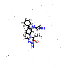 CC1C(=O)NN=C2COc3cc(C4CCCCC4)c(NC4CNC4)cc3N21